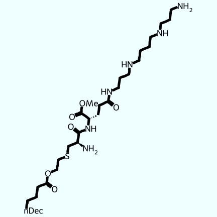 CCCCCCCCCCCCCC(=O)OCCSC[C@H](N)C(=O)N[C@@H](CCC(=O)NCCCNCCCCNCCCN)C(=O)OC